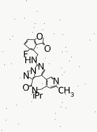 Cc1cc2c(cn1)-c1cnc(NCc3c(F)ccc4c3C(=O)CO4)n3cnc(c13)C(=O)N(C(C)C)C2